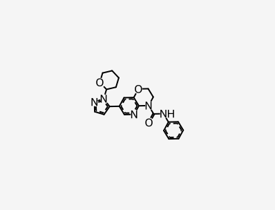 O=C(Nc1ccccc1)N1CCOc2cc(-c3ccnn3C3CCCCO3)cnc21